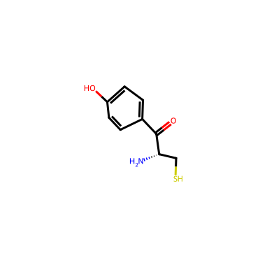 N[C@@H](CS)C(=O)c1ccc(O)cc1